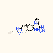 CCCCc1nc(CCC)nn1Cc1ccc(-n2cccc2-c2nnn[nH]2)cc1